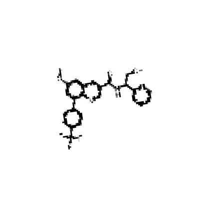 COc1cc(-c2ccc(C(F)(F)F)cc2)c2ncc(C(=O)NC(CO)c3ccccn3)cc2c1